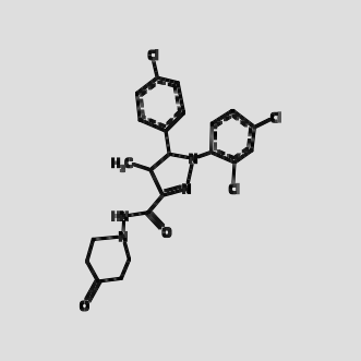 CC1C(C(=O)NN2CCC(=O)CC2)=NN(c2ccc(Cl)cc2Cl)C1c1ccc(Cl)cc1